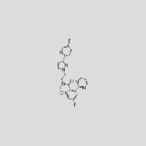 CCN(CCn1ccc(-c2ccc(F)cn2)n1)C(=O)c1ccc(F)cc1-c1ncccn1